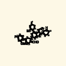 CCc1nc(C)ccc1-c1cc(C2CN(c3ncc(F)cc3OC)CCN2C=O)cc2cc(C3=CCCNC3)n(CC(C)C)c12